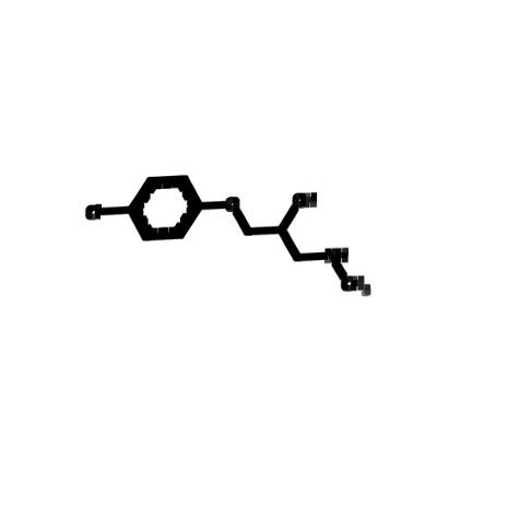 CNCC(O)COc1ccc(Cl)cc1